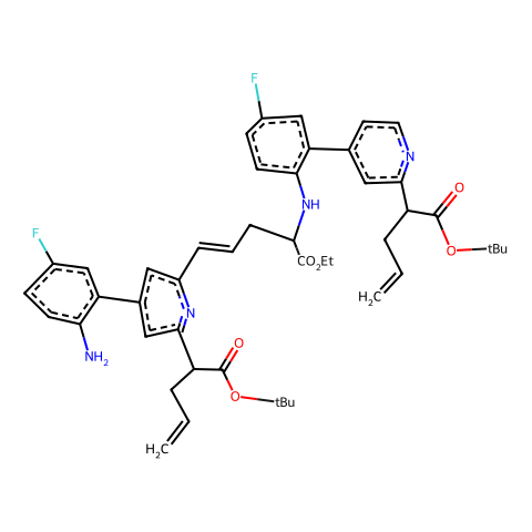 C=CCC(C(=O)OC(C)(C)C)c1cc(-c2cc(F)ccc2NC(C/C=C/c2cc(-c3cc(F)ccc3N)cc(C(CC=C)C(=O)OC(C)(C)C)n2)C(=O)OCC)ccn1